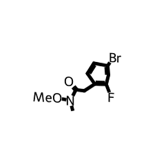 CON(C)C(=O)Cc1ccc(Br)cc1F